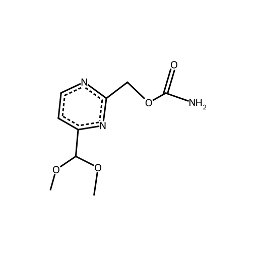 COC(OC)c1ccnc(COC(N)=O)n1